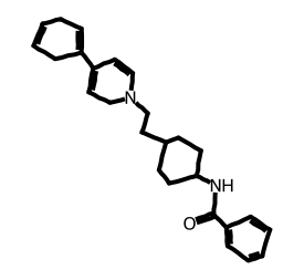 O=C(NC1CCC(CCN2C=CC(C3=CCC=CC3)=CC2)CC1)c1ccccc1